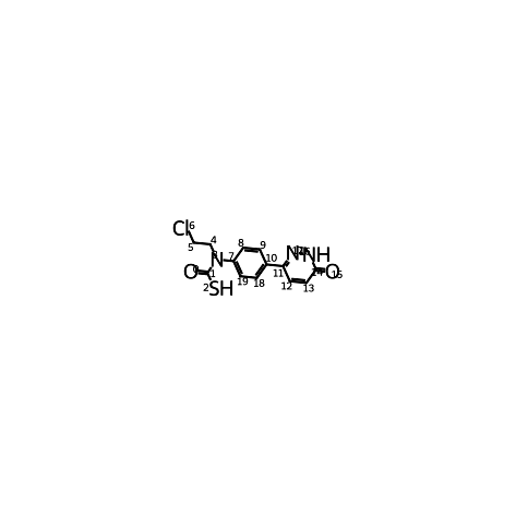 O=C(S)N(CCCl)c1ccc(-c2ccc(=O)[nH]n2)cc1